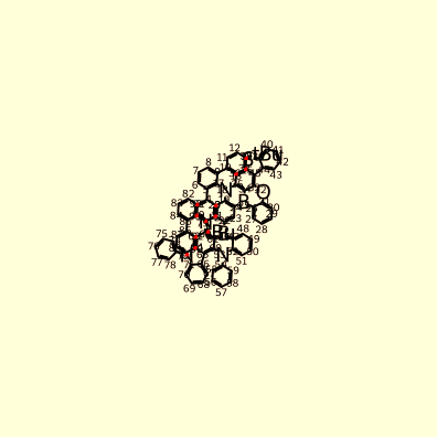 CC(C)(C)c1ccc(-c2cccc(-c3ccc(C(C)(C)C)cc3)c2N2c3cc4c(cc3B3c5ccccc5Oc5c3c2cc2sc3ccccc3c52)B2c3ccccc3N(c3ccccc3)c3c2c(cc2c3c3ccccc3n2-c2ccccc2)N4c2ccccc2-c2ccccc2)cc1